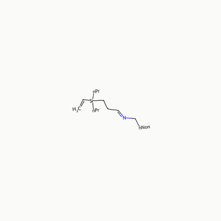 C=C[Si](CCC)(CCC)CCC=NCCCCCCCCCC